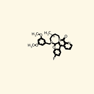 COc1cc(CN2C[C@H](C)CCn3c(c(-c4ccc(F)cc4)c4cccnc4c3=O)C2=O)cc(OC)c1